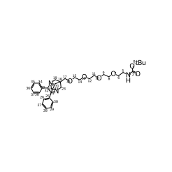 CC(C)(C)OC(=O)NCCOCCOCCOCCOCC12CN3CN(C1)C(c1ccccc1)(C2)C3c1ccccc1